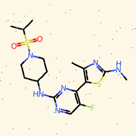 CNc1nc(C)c(-c2nc(NC3CCN(S(=O)(=O)C(C)C)CC3)ncc2F)s1